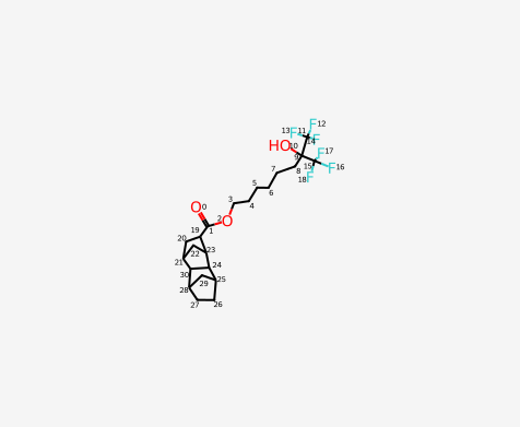 O=C(OCCCCCCC(O)(C(F)(F)F)C(F)(F)F)C1CC2CC1C1C3CCC(C3)C21